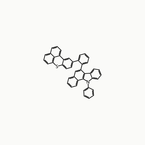 c1ccc(-n2c3ccccc3c3c(-c4ccccc4-c4ccc5c(c4)-c4cccc6cccc(c46)S5)cc4ccccc4c32)cc1